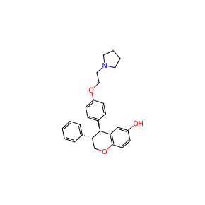 Oc1ccc2c(c1)[C@H](c1ccc(OCCN3CCCC3)cc1)[C@@H](c1ccccc1)CO2